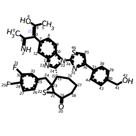 CC(=N)/C(=C(/C)O)c1ccc2c(c1)nc([C@@H]1CCCC(=O)C3SC31Cc1ccc(F)c(F)c1)n2-c1nc(-c2ccc(CO)cc2)cs1